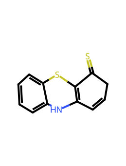 S=C1CC=CC2=C1Sc1ccccc1N2